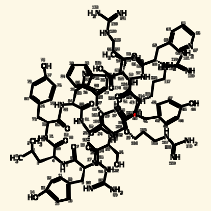 CC(C)C[C@H](NC(=O)[C@H](Cc1ccc(O)cc1)NC(=O)[C@H](CO)NC(=O)[C@H](Cc1c[nH]c2ccccc12)NC(=O)[C@H](Cc1ccc(O)cc1)NC(=O)[C@H](CC(C)C)NC(=O)[C@@H](N)Cc1cccnc1)C(=O)N[C@@H](Cc1ccc(O)cc1)C(=O)N[C@@H](CC(N)=O)C(=O)N[C@@H](CCCNC(=N)N)C(=O)N[C@@H](CCCNC(=N)N)C(=O)N[C@@H](CCCNC(=N)N)C(=O)N[C@@H](CCCNC(=N)N)C(=O)O